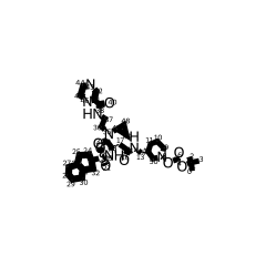 CC(C)(C)OC(=O)ON1CCC[C@@H](CNC(=O)C[C@H](NS(=O)(=O)c2ccc3ccccc3c2)C(=O)N(CCNC(=O)c2cnccn2)C2CC2)C1